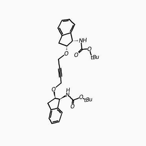 CC(C)(C)OC(=O)N[C@H]1c2ccccc2C[C@H]1OCC#CCO[C@@H]1Cc2ccccc2[C@@H]1NC(=O)OC(C)(C)C